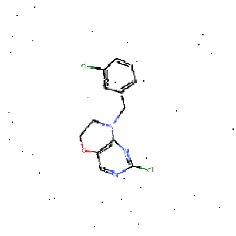 Clc1cccc(CN2CCOc3cnc(Cl)nc32)c1